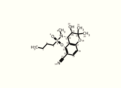 CCCCS(=O)(=O)N(C)[C@H]1c2cc(C#N)ccc2OC(C)(C)[C@@H]1O